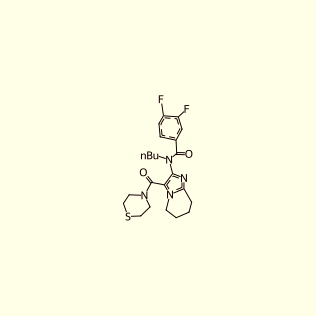 CCCCN(C(=O)c1ccc(F)c(F)c1)c1nc2n(c1C(=O)N1CCSCC1)CCCC2